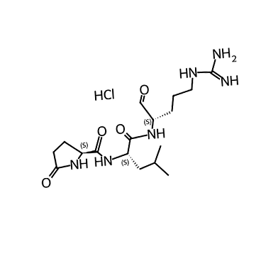 CC(C)C[C@H](NC(=O)[C@@H]1CCC(=O)N1)C(=O)N[C@H](C=O)CCCNC(=N)N.Cl